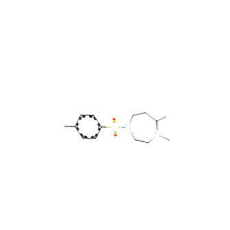 CCCC1CCN(S(=O)(=O)c2ccc(C(C)C)cc2)CCN1C